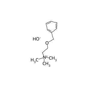 C[N+](C)(C)CCOCc1ccccc1.[OH-]